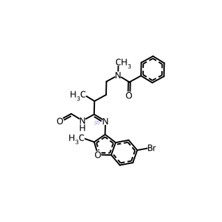 Cc1oc2ccc(Br)cc2c1/N=C(\NC=O)C(C)CCN(C)C(=O)c1ccccc1